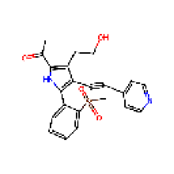 CC(=O)c1[nH]c(-c2ccccc2S(C)(=O)=O)c(C#Cc2ccncc2)c1CCO